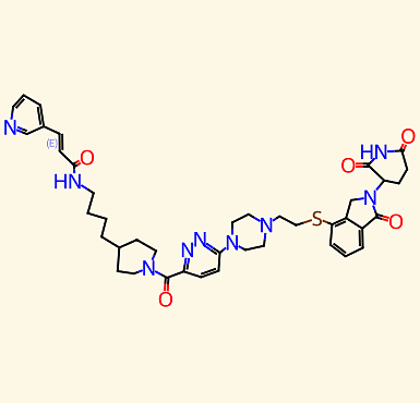 O=C(/C=C/c1cccnc1)NCCCCC1CCN(C(=O)c2ccc(N3CCN(CCSc4cccc5c4CN(C4CCC(=O)NC4=O)C5=O)CC3)nn2)CC1